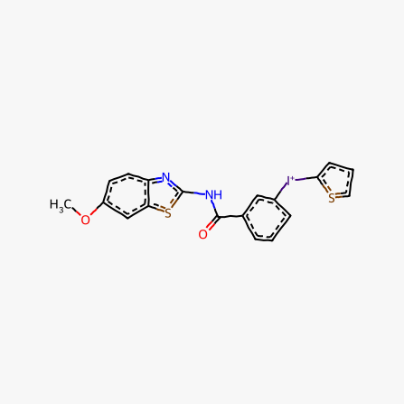 COc1ccc2nc(NC(=O)c3cccc([I+]c4cccs4)c3)sc2c1